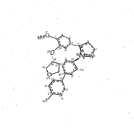 COc1ccc(-c2ccnn2-c2ccc(-c3ccc(F)nc3)cc2)cc1O[C@@H]1CCOC1